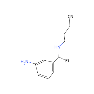 CCC(NCCCC#N)c1cccc(N)c1